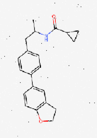 CC(Cc1ccc(-c2ccc3c(c2)CCO3)cc1)NC(=O)C1CC1